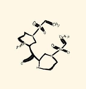 C=CS(=O)(=O)N1CCNC(C(=O)C2CN(S(=O)(=O)C=C)CCN2)C1